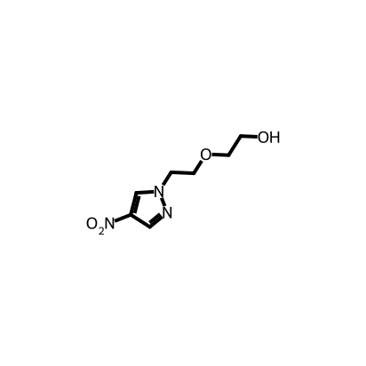 O=[N+]([O-])c1cnn(CCOCCO)c1